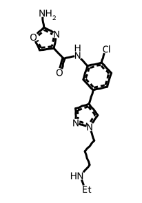 CCNCCCn1cc(-c2ccc(Cl)c(NC(=O)c3coc(N)n3)c2)cn1